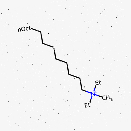 CCCCCCCCCCCCCCCC[N+](C)(CC)CC